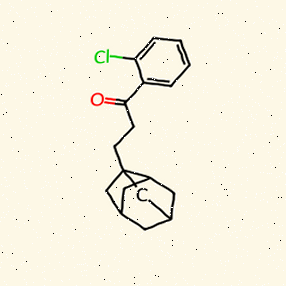 O=C(CCC12CC3CC(CC1C3)C2)c1ccccc1Cl